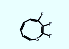 Fc1cccccsc(F)c1F